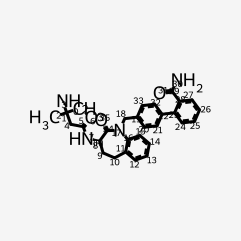 CC(C)(N)CC(=O)N[C@@H]1CCc2ccccc2N(Cc2ccc(-c3ccccc3C(N)=O)cc2)C1=O